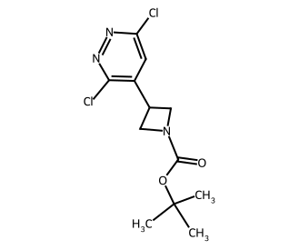 CC(C)(C)OC(=O)N1CC(c2cc(Cl)nnc2Cl)C1